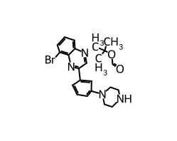 Brc1cccc2ncc(-c3cccc(N4CCNCC4)c3)nc12.CC(C)(C)OC=O